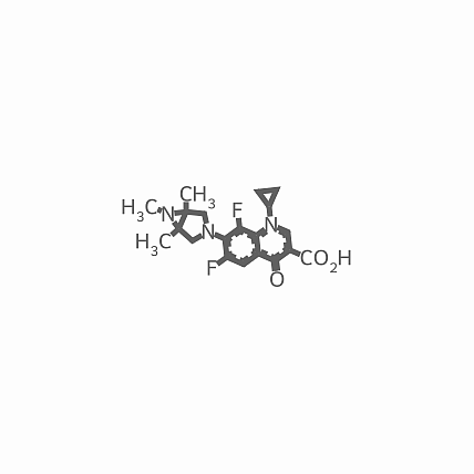 CN1C2(C)CN(c3c(F)cc4c(=O)c(C(=O)O)cn(C5CC5)c4c3F)CC12C